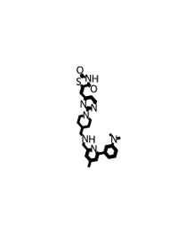 Cc1cc(CNCC2CCN(c3nccc(C=C4SC(=O)NC4=O)n3)CC2)nc(-c2cccc(N(C)C)c2)c1